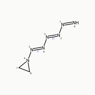 N=N/N=N/N=N/N1CC1